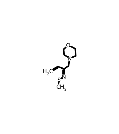 C=C/C(CN1CCOCC1)=N\SC